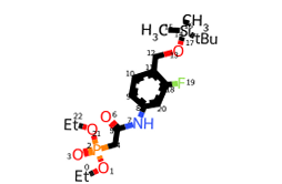 CCOP(=O)(CC(=O)Nc1ccc(CO[Si](C)(C)C(C)(C)C)c(F)c1)OCC